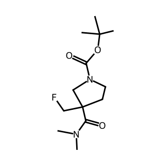 CN(C)C(=O)C1(CF)CCN(C(=O)OC(C)(C)C)C1